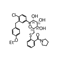 CCOc1ccc(Cc2cc([C@@H]3O[C@H](CSc4ccccc4C(=O)N4CCCC4)[C@H](O)[C@@H](O)[C@H]3O)ccc2Cl)cc1